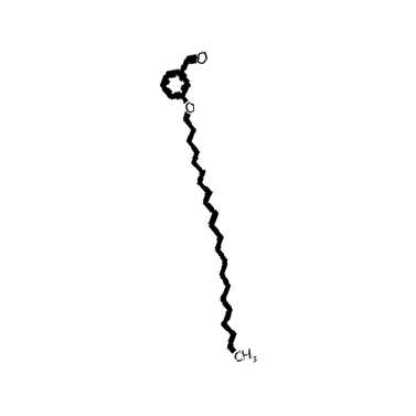 CCCCCCCCCCCCCCCCCCCCCCOc1cccc(C=O)c1